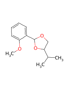 COc1ccccc1C1OCC(C(C)C)O1